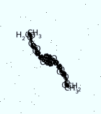 C=C(C)C(=O)OCCCOc1ccc(C(=O)Oc2ccc(-c3ccc(C(=O)Oc4ccc5ccccc5c4-c4c(OC(=O)c5ccc(-c6ccc(OC(=O)c7ccc(OCCCOC(=O)C(=C)C)cc7)cc6)cc5)ccc5ccccc45)cc3)cc2)cc1